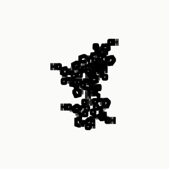 O=C(NCC(=O)N1CCC[C@H]1C(=O)N1C[C@H](O)C[C@H]1C(=O)NCC(=O)N1CCC[C@H]1C(=O)N1C[C@H](O)C[C@H]1C(=O)O)[C@H](CS)NC(=O)[C@@H]1CCCN1C(=O)CNC(=O)[C@@H]1C[C@@H](O)CN1C(=O)[C@@H]1CCCN1C(=O)CNC(=O)[C@@H]1C[C@@H](O)CN1C(=O)[C@@H]1CCCN1C(=O)CNC(=O)[C@@H]1C[C@@H](O)CN1C(=O)[C@@H]1CCCN1C(=O)CNC(=O)[C@@H]1C[C@@H](O)CN1C(=O)[C@@H]1CCCN1